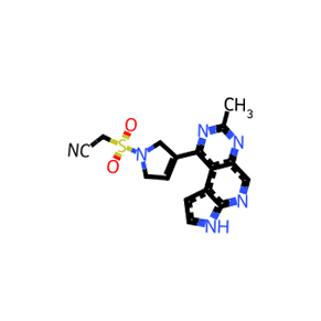 Cc1nc(C2=CCN(S(=O)(=O)CC#N)C2)c2c(cnc3[nH]ccc32)n1